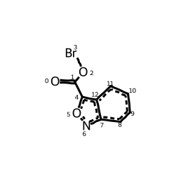 O=C(OBr)c1onc2ccccc12